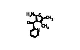 Cc1sc(N)c(C(=O)c2ccccn2)c1C